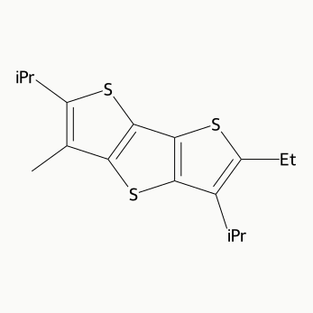 CCc1sc2c(sc3c(C)c(C(C)C)sc32)c1C(C)C